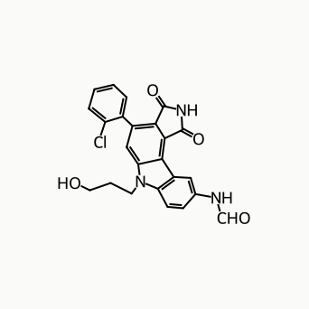 O=CNc1ccc2c(c1)c1c3c(c(-c4ccccc4Cl)cc1n2CCCO)C(=O)NC3=O